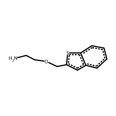 NCCOCc1cc2ccccc2s1